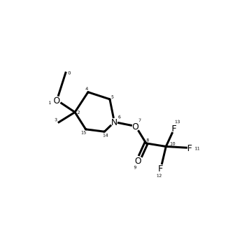 COC1(C)CCN(OC(=O)C(F)(F)F)CC1